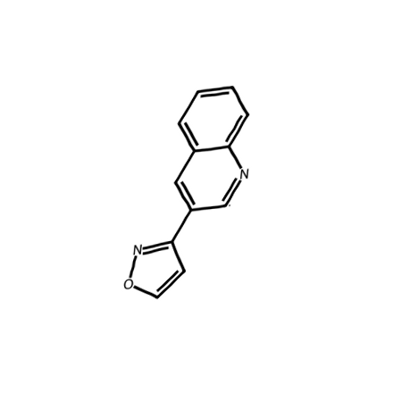 [c]1nc2ccccc2cc1-c1ccon1